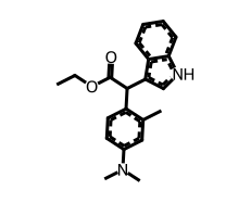 CCOC(=O)C(c1ccc(N(C)C)cc1C)c1c[nH]c2ccccc12